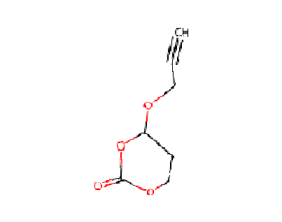 C#CCOC1CCOC(=O)O1